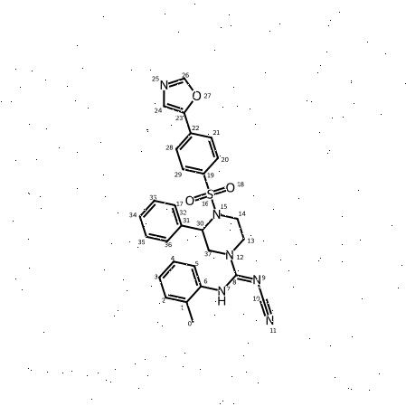 Cc1ccccc1N/C(=N\C#N)N1CCN(S(=O)(=O)c2ccc(-c3cnco3)cc2)C(c2ccccc2)C1